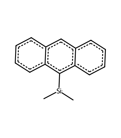 C[Si](C)c1c2ccccc2cc2ccccc12